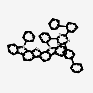 c1ccc(-c2ccc(-c3nc(-c4ccccc4-c4ccccc4)nc(-c4ccccc4-n4c5ccccc5c5ccc6c7ccc8c9ccccc9n(-c9ccccc9)c8c7sc6c54)n3)cc2)cc1